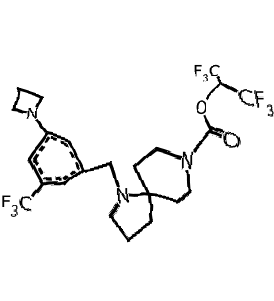 O=C(OC(C(F)(F)F)C(F)(F)F)N1CCC2(CCCN2Cc2cc(N3CCC3)cc(C(F)(F)F)c2)CC1